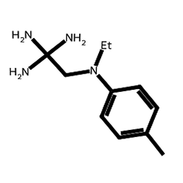 CCN(CC(N)(N)N)c1ccc(C)cc1